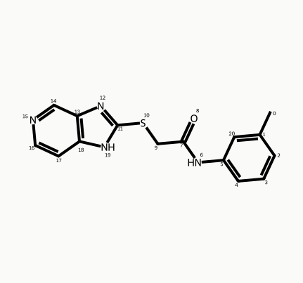 Cc1cccc(NC(=O)CSc2nc3cnccc3[nH]2)c1